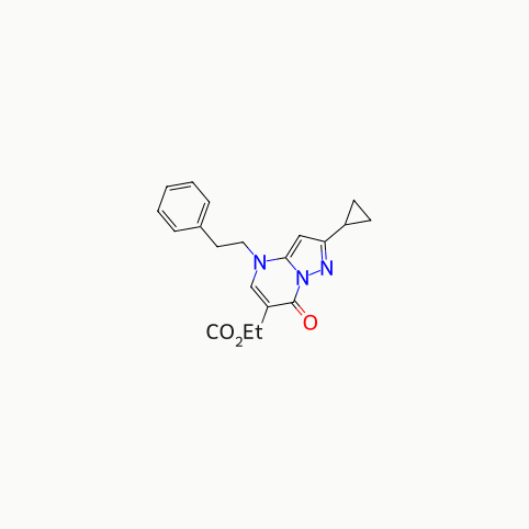 CCOC(=O)c1cn(CCc2ccccc2)c2cc(C3CC3)nn2c1=O